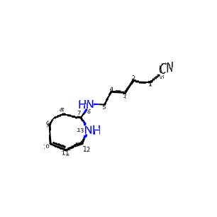 N#CCCCCCNC1CCC=CCN1